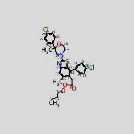 CCCCOOC(=O)Cc1c(C)cc2nc(N3CCOC(C)(c4ccc(Cl)cc4)C3)sc2c1-c1ccc(Cl)cc1